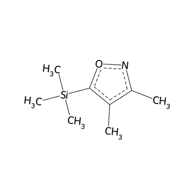 Cc1noc([Si](C)(C)C)c1C